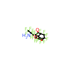 NC(F)(C(F)(F)F)C(F)(F)OC1(F)C2(F)C(=O)C3(F)C(F)(F)C(F)(C2(F)F)C(F)(F)C1(F)C3(F)F